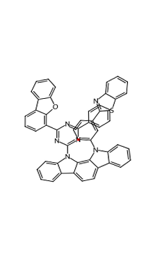 c1ccc(-c2nc(-c3cccc4c3oc3ccccc34)nc(-n3c4ccccc4c4ccc5c6ccccc6n(-c6cccc(-c7nc8ccccc8s7)c6)c5c43)n2)cc1